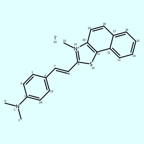 CN(C)c1ccc(/C=C/c2sc3c4ccccc4ccc3[n+]2C)cc1.[I-]